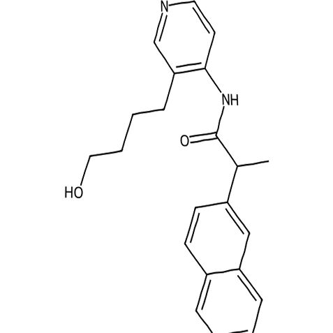 CC(C(=O)Nc1ccncc1CCCCO)c1ccc2ccccc2c1